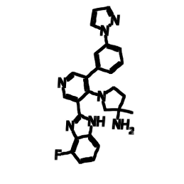 CC1(N)CCN(c2c(-c3cccc(-n4cccn4)c3)cncc2-c2nc3c(F)cccc3[nH]2)C1